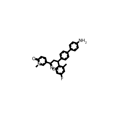 Cc1cc(F)ccc1C(C/C(=N\O)c1ccc(=O)n(C)c1)c1ccc(-c2ccc(N)cc2)cc1